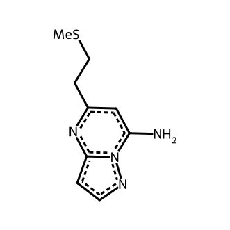 CSCCc1cc(N)n2nccc2n1